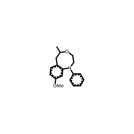 COc1ccc2c(c1)N(c1ccccc1)CCOC(C)C2